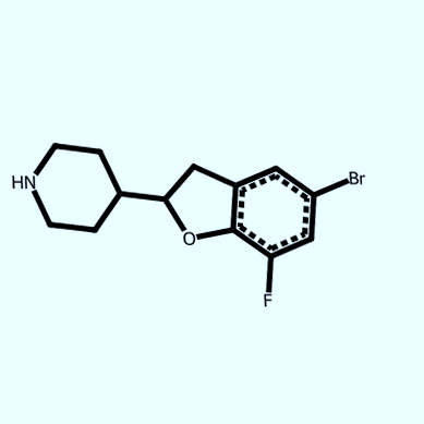 Fc1cc(Br)cc2c1OC(C1CCNCC1)C2